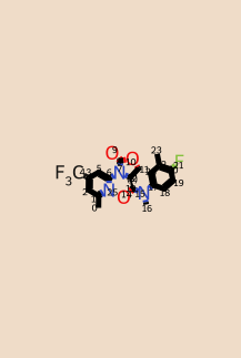 Cc1cc(C(F)(F)F)cc(N2C(=O)OC[C@H]2C(=O)N(C)c2ccc(F)c(C)c2)n1